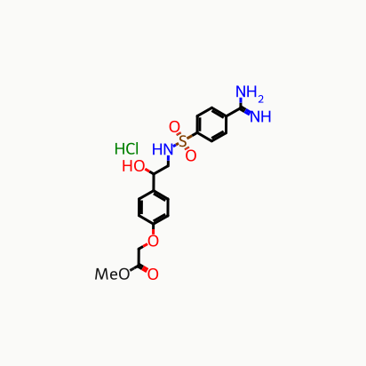 COC(=O)COc1ccc(C(O)CNS(=O)(=O)c2ccc(C(=N)N)cc2)cc1.Cl